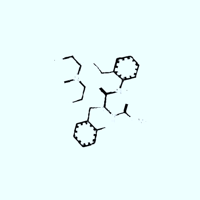 COC(=O)N[C@@H](Cc1ccccc1Cl)C(=O)Nc1ccccc1CC[C@@H](CO)N(C)CCC(C)C